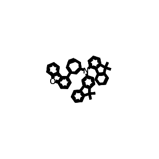 CC1(C)C2=C(CCC=C2)c2c(N(C3=CC(c4cccc5oc6ccccc6c45)=CC#CC3)c3ccc4c(c3)-c3ccccc3C4(C)C)cccc21